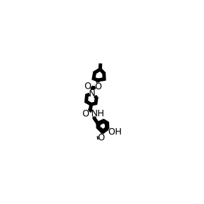 COc1cc(CNC(=O)C2CCN(C(=O)OC3CCC(C)CC3)CC2)ccc1O